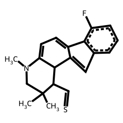 CN1CC(C)(C)C(C=S)C2C3=Cc4cccc(F)c4C3=CC=C21